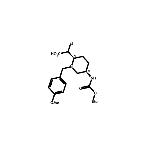 CCC(C(=O)O)[C@H]1CC[C@@H](NC(=O)OC(C)(C)C)CN1Cc1ccc(OC)cc1